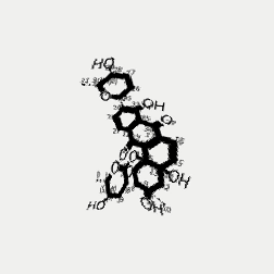 C[C@@H]1O[C@@H](O[C@]23C(=O)C[C@](C)(O)C[C@@]2(O)C=CC2=C3C(=O)c3ccc([C@H]4CC[C@@H](O)[C@@H](C)O4)c(O)c3C2=O)CC[C@@H]1O